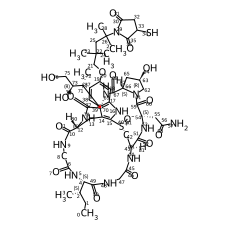 CC[C@H](C)[C@@H]1NC(=O)CNC(=O)[C@H]2Cc3c([nH]c4cc(OCC(C)(C)CC(C)(C)N5C(=O)CC(S)C5=O)ccc34)[S+]([O-])C[C@H](NC(=O)CNC1=O)C(=O)N[C@@H](CC(N)=O)C(=O)N1C[C@H](O)C[C@H]1C(=O)N[C@@H]([C@@H](C)[C@@H](O)CO)C(=O)N2